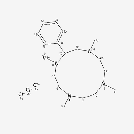 CN1CCN(C)CC[N]([Ti+3])C(c2ccccc2)CN(C)CC1.[Cl-].[Cl-].[Cl-]